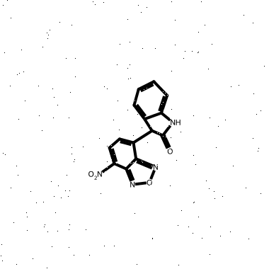 O=C1Nc2ccccc2C1c1ccc([N+](=O)[O-])c2nonc12